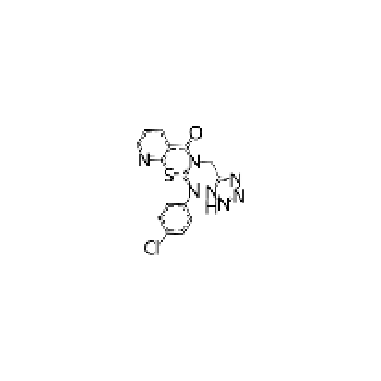 O=c1c2cccnc2s/c(=N\c2ccc(Cl)cc2)n1Cc1nnn[nH]1